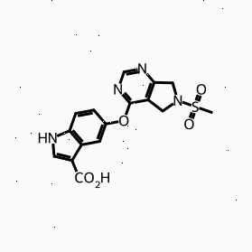 CS(=O)(=O)N1Cc2ncnc(Oc3ccc4[nH]cc(C(=O)O)c4c3)c2C1